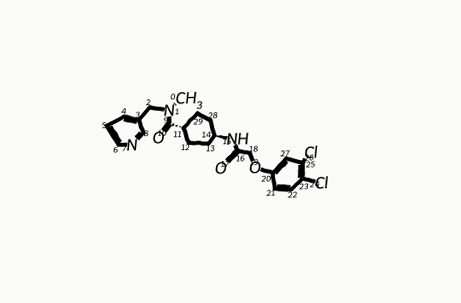 CN(Cc1cccnc1)C(=O)[C@H]1CC[C@H](NC(=O)COc2ccc(Cl)c(Cl)c2)CC1